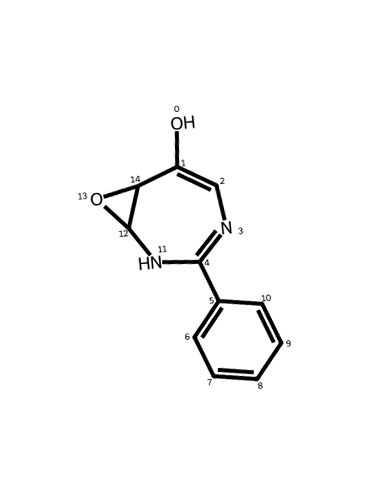 OC1=CN=C(c2ccccc2)NC2OC12